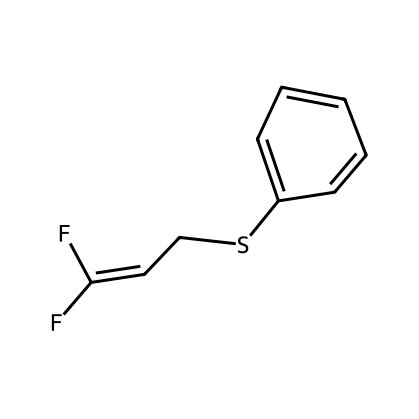 FC(F)=CCSc1ccccc1